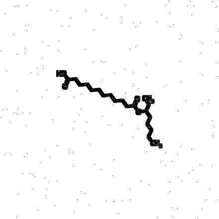 CCCCCC(CC)OC(=O)CCCCCCCCCCC(=O)O